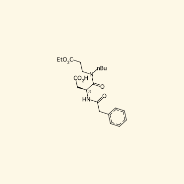 CCCCN(CCC(=O)OCC)C(=O)[C@H](CC(=O)O)NC(=O)Cc1ccccc1